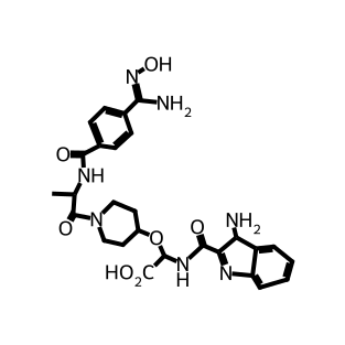 CC(NC(=O)c1ccc(/C(N)=N/O)cc1)C(=O)N1CCC(OC(NC(=O)C2=Nc3ccccc3C2N)C(=O)O)CC1